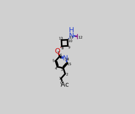 CC(=O)CCc1ccc(O[C@H]2C[C@@H](NI)C2)nc1